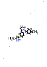 Cc1ccc(N2c3ccc(-c4cnc(C)s4)cc3C3CCCC32)cc1